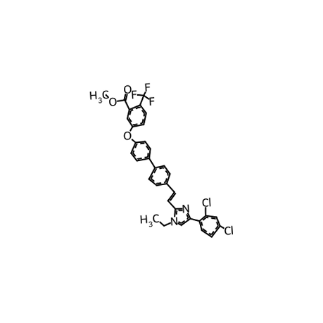 CCn1cc(-c2ccc(Cl)cc2Cl)nc1C=Cc1ccc(-c2ccc(Oc3ccc(C(F)(F)F)c(C(=O)OC)c3)cc2)cc1